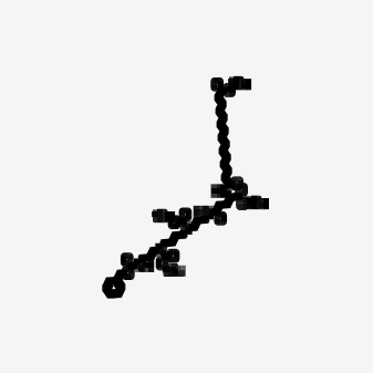 CC(C)(C)OC(=O)CCCCCCCCCCCCCC(=O)NC(CCC(=O)NCCCN(CCCCN(CCCNC(=O)OCc1ccccc1)C(=O)OC(C)(C)C)C(=O)OC(C)(C)C)C(=O)OC(C)(C)C